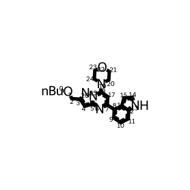 CCCCOCc1cc2nc(-c3cccc4[nH]ccc34)cc(N3CCOCC3)n2n1